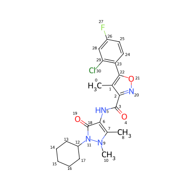 Cc1c(C(=O)Nc2c(C)n(C)n(C3CCCCC3)c2=O)noc1-c1ccc(F)cc1Cl